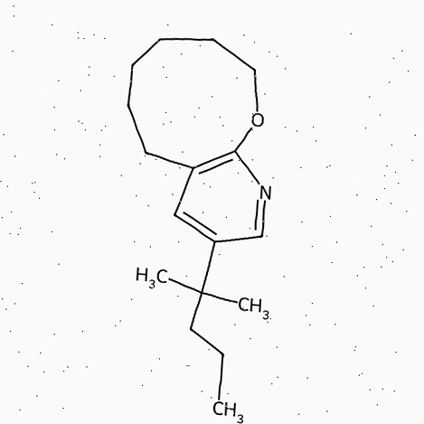 CCCC(C)(C)c1cnc2c(c1)CCCCCCO2